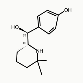 CC1(C)CCC[C@H]([C@@H](O)c2ccc(O)cc2)N1